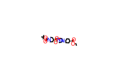 CCOC(=O)[C@H]1CC[C@H](N2CCN(S(=O)(=O)C3CCN(C(=O)OC(C)(C)C)CC3)CC2)CC1